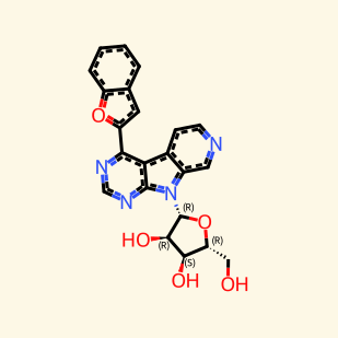 OC[C@H]1O[C@@H](n2c3cnccc3c3c(-c4cc5ccccc5o4)ncnc32)[C@H](O)[C@@H]1O